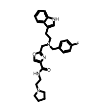 O=C(NCCN1CCCC1)c1coc(CN(CCc2c[nH]c3ccccc23)Cc2ccc(F)cc2)n1